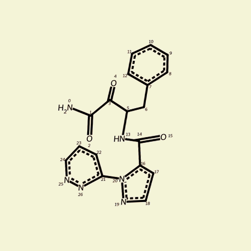 NC(=O)C(=O)C(Cc1ccccc1)NC(=O)c1ccnn1-c1cccnn1